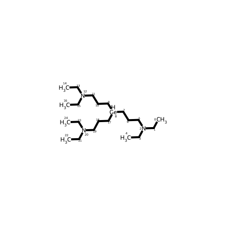 CCN(CC)CC[CH2][GeH]([CH2]CCN(CC)CC)[CH2]CCN(CC)CC